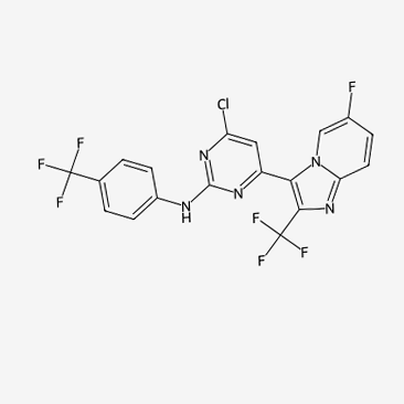 Fc1ccc2nc(C(F)(F)F)c(-c3cc(Cl)nc(Nc4ccc(C(F)(F)F)cc4)n3)n2c1